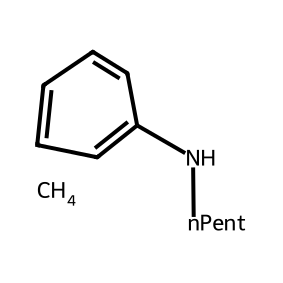 C.CCCCCNc1ccccc1